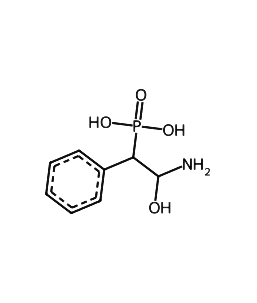 NC(O)C(c1ccccc1)P(=O)(O)O